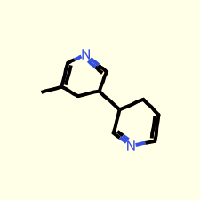 CC1=CN=CC(C2C=NC=CC2)C1